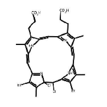 CCC1=C(C)C2(Cl)N=C1C=c1[nH]c(c(CCC(=O)O)c1C)=CC1=NC(=Cc3[nH]c(c(CC)c3C)C2Cl)C(C)=C1CCC(=O)O